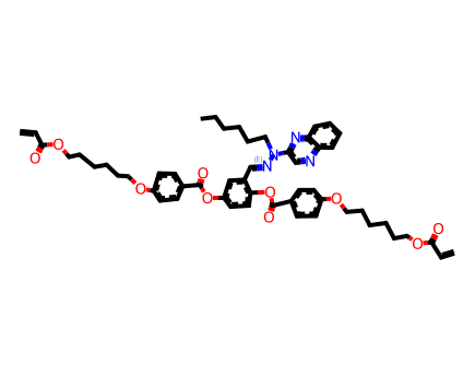 C=CC(=O)OCCCCCCOc1ccc(C(=O)Oc2ccc(OC(=O)c3ccc(OCCCCCCOC(=O)C=C)cc3)c(/C=N/N(CCCCCC)c3cnc4ccccc4n3)c2)cc1